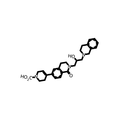 O=C(O)N1CC=C(c2ccc3c(c2)CCN(CC(O)CN2CCc4ccccc4C2)C3=O)CC1